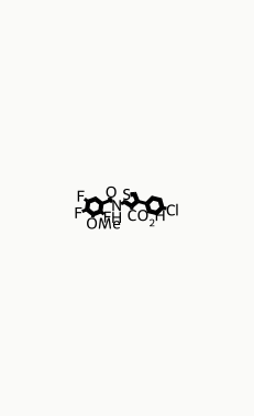 COc1c(F)c(F)cc(C(=O)Nc2scc(-c3ccc(Cl)cc3)c2C(=O)O)c1F